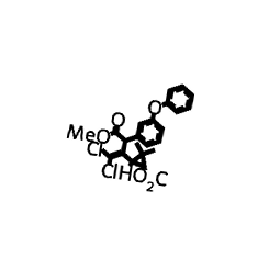 COC(=O)C(C(=C(Cl)Cl)C1(C(=O)O)CC1(C)C)c1cccc(Oc2ccccc2)c1